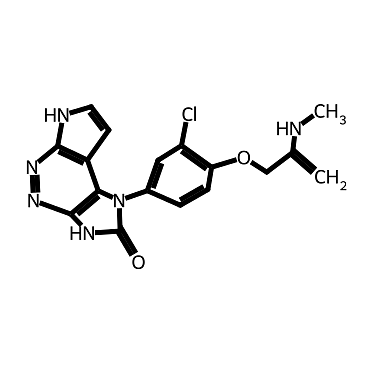 C=C(COc1ccc(-n2c(=O)[nH]c3nnc4[nH]ccc4c32)cc1Cl)NC